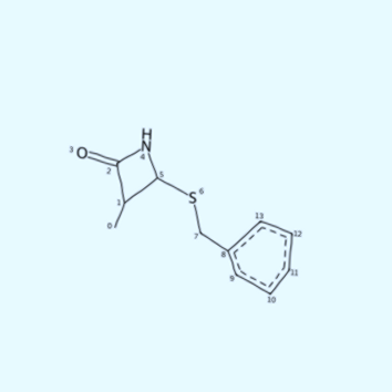 CC1C(=O)NC1SCc1ccccc1